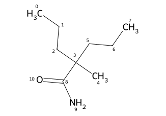 CCCC(C)(CCC)C(N)=O